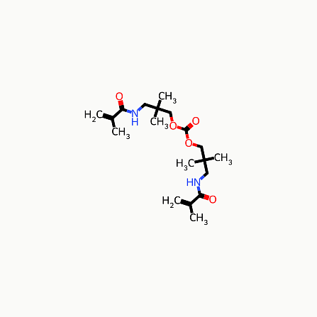 C=C(C)C(=O)NCC(C)(C)COC(=O)OCC(C)(C)CNC(=O)C(=C)C